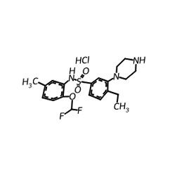 CCc1ccc(S(=O)(=O)Nc2cc(C)ccc2OC(F)F)cc1N1CCNCC1.Cl